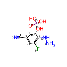 N#Cc1ccc(NN)c(F)c1.O=P(O)(O)O